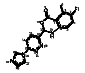 Cc1c(F)ccc2c1C(=O)OC(c1ccc(-n3ccnc3)nn1)N2